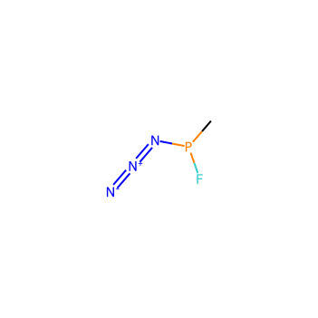 CP(F)N=[N+]=[N-]